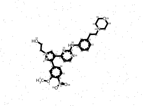 COc1cc(-c2nn(CCO)cc2-c2ccnc(Nc3cccc(CCN4CCOCC4)c3)n2)ccc1[N+](=O)[O-]